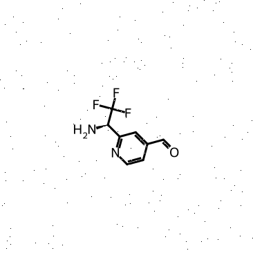 N[C@H](c1cc(C=O)ccn1)C(F)(F)F